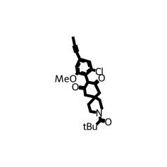 CC#Cc1cc(Cl)c(C2C(=O)CC3(CCN(C(=O)C(C)(C)C)CC3)CC2=O)c(OC)c1